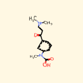 CN(C)C=CC(=O)c1cccc(N(C)C(=O)O)c1